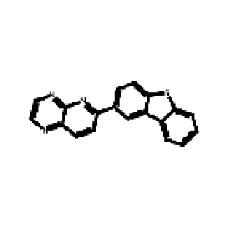 c1ccc2c(c1)sc1ccc(-c3ccc4nccnc4n3)cc12